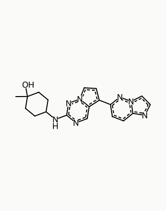 CC1(O)CCC(Nc2ncc3c(-c4ccc5nccn5n4)ccn3n2)CC1